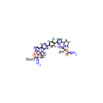 COC(=O)[C@@](N)(C(=O)[C@@]1(n2cncc2-c2cnc(-c3ccc(-c4cnc([C@@H]5CCCN5C(=O)[C@@H](OC(N)=O)C(C)C)[nH]4)c(F)c3)nc2)CCCN1)C(C)C